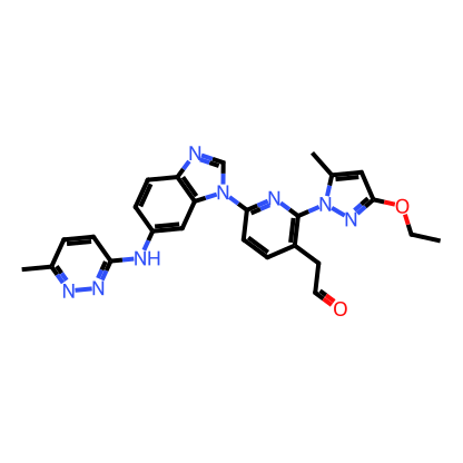 CCOc1cc(C)n(-c2nc(-n3cnc4ccc(Nc5ccc(C)nn5)cc43)ccc2CC=O)n1